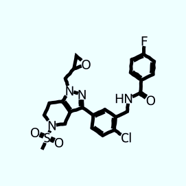 CS(=O)(=O)N1CCc2c(c(-c3ccc(Cl)c(CNC(=O)c4ccc(F)cc4)c3)nn2CC2CO2)C1